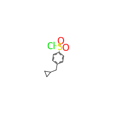 O=S(=O)(Cl)c1ccc(CC2CC2)cc1